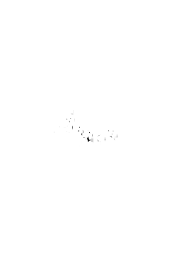 COc1ccc(-c2nc(C(=O)NCc3cccc(-c4ncccn4)c3)c([C@H](C)N)o2)c2ccc(C(F)(F)F)nc12